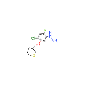 NNc1cc(OCC2CCCSC2)c(Cl)cc1F